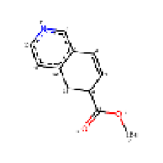 CC(C)(C)OC(=O)C1C=Cc2cnccc2C1